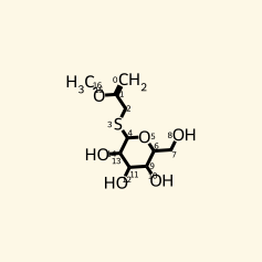 C=C(CSC1OC(CO)C(O)C(O)C1O)OC